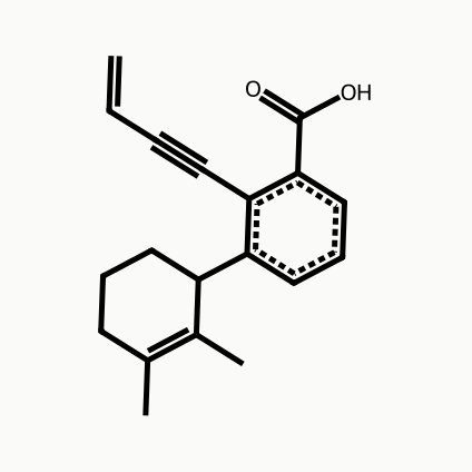 C=CC#Cc1c(C(=O)O)cccc1C1CCCC(C)=C1C